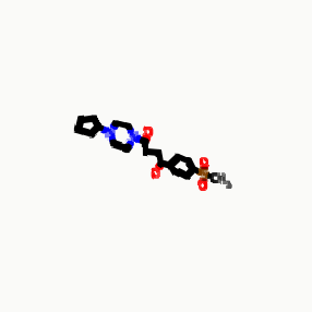 CS(=O)(=O)c1ccc(C(=O)CCC(=O)N2CCN(C3CCCC3)CC2)cc1